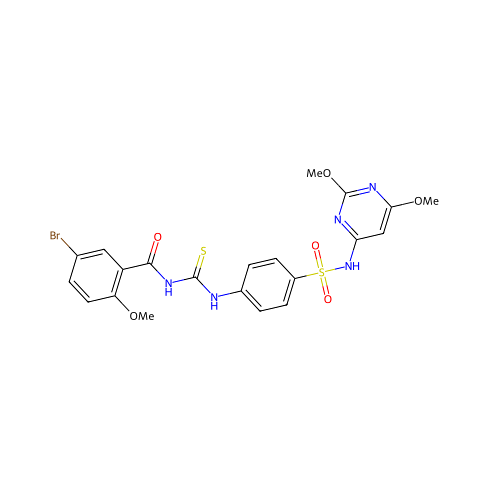 COc1cc(NS(=O)(=O)c2ccc(NC(=S)NC(=O)c3cc(Br)ccc3OC)cc2)nc(OC)n1